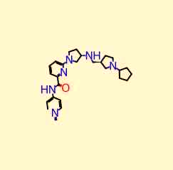 C=N/C=C\C(=C/C)NC(=O)c1cccc(N2CC[C@@H](NC[C@H]3CCN(C4CCCC4)C3)C2)n1